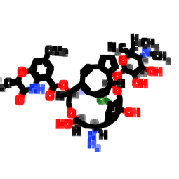 C=C1Oc2cc(OC)cc(C(=O)O[C@H]3CO[C@H](O)C[C@H](N)c4cc(O)c(c(Cl)c4)O[C@@H]4C#C/C=C/3C#CC3=CC=CC34O[C@@H]3OC(C)(C)[C@@H](N(C)C)[C@@H](O)[C@H]3O)c2NC1=O